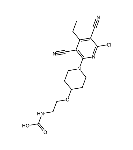 CCc1c(C#N)c(Cl)nc(N2CCC(OCCNC(=O)O)CC2)c1C#N